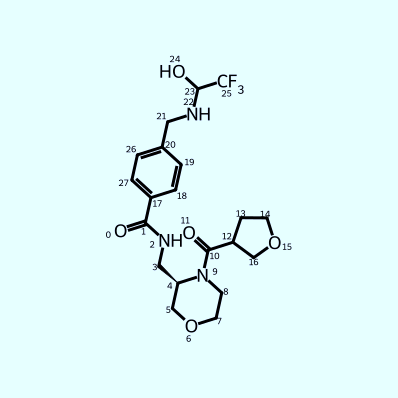 O=C(NC[C@@H]1COCCN1C(=O)C1CCOC1)c1ccc(CNC(O)C(F)(F)F)cc1